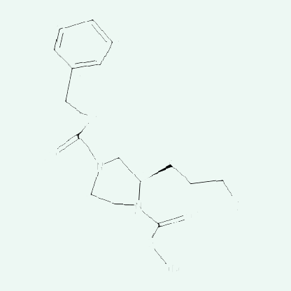 CC(C)(C)OC(=O)N1CCN(C(=O)OCc2ccccc2)C[C@H]1CCCO